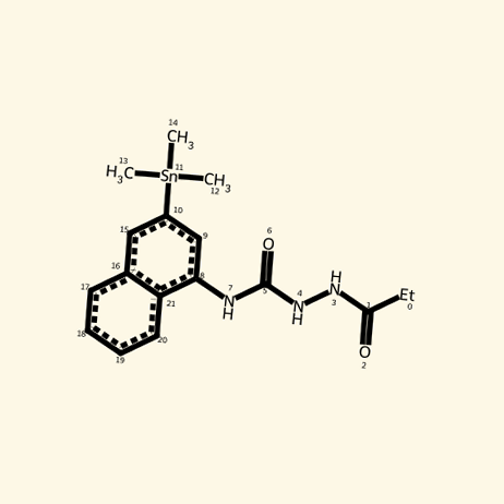 CCC(=O)NNC(=O)Nc1c[c]([Sn]([CH3])([CH3])[CH3])cc2ccccc12